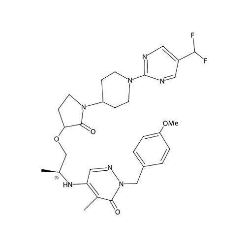 COc1ccc(Cn2ncc(N[C@@H](C)COC3CCN(C4CCN(c5ncc(C(F)F)cn5)CC4)C3=O)c(C)c2=O)cc1